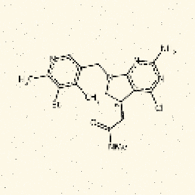 CCc1c(C)ncc(CN2C[C@H](CC(=O)NC)c3c(Cl)nc(N)nc32)c1C